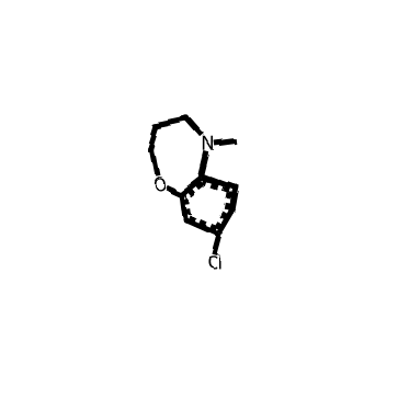 CN1CCCOc2cc(Cl)ccc21